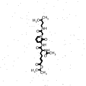 CC(=O)NC(CC/C=C/C(=O)OC(C)C)C(=O)Nc1cccn(CC(=O)NCCC(C)C)c1=O